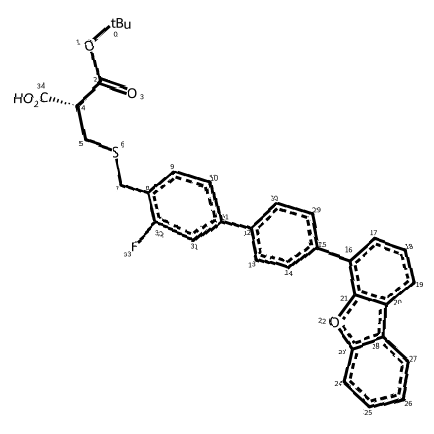 CC(C)(C)OC(=O)[C@H](CSCc1ccc(-c2ccc(-c3cccc4c3oc3ccccc34)cc2)cc1F)C(=O)O